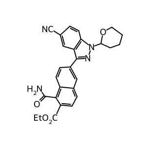 CCOC(=O)c1ccc2cc(-c3nn(C4CCCCO4)c4ccc(C#N)cc34)ccc2c1C(N)=O